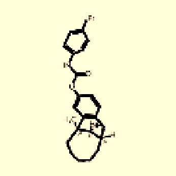 CC(C)c1ccc(NC(=O)Oc2ccc3c(c2)[C@@]2(C)CCCCC[C@@H](C3)[C@@H]2N)cc1